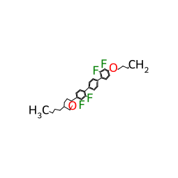 C=CCCOc1ccc(-c2ccc(-c3ccc(C4CCC(CCCC)CO4)c(F)c3F)cc2)c(F)c1F